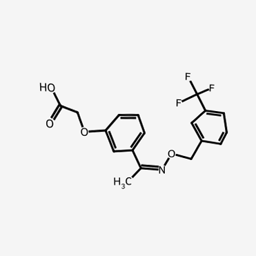 CC(=NOCc1cccc(C(F)(F)F)c1)c1cccc(OCC(=O)O)c1